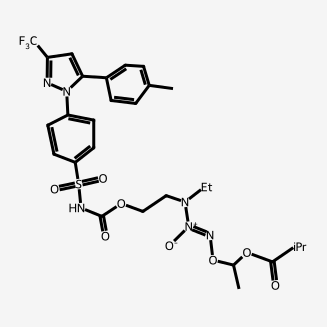 CCN(CCOC(=O)NS(=O)(=O)c1ccc(-n2nc(C(F)(F)F)cc2-c2ccc(C)cc2)cc1)[N+]([O-])=NOC(C)OC(=O)C(C)C